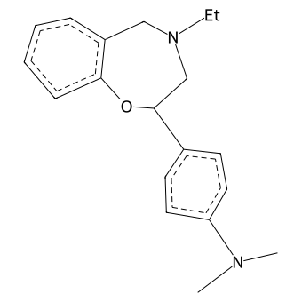 CCN1Cc2ccccc2OC(c2ccc(N(C)C)cc2)C1